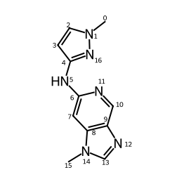 Cn1ccc(Nc2cc3c(cn2)ncn3C)n1